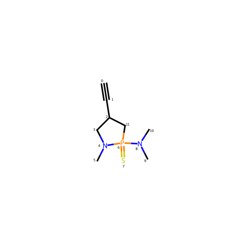 C#CC1CN(C)P(=S)(N(C)C)C1